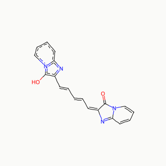 O=C1C(=CC=CC=Cc2nc3ccccn3c2O)N=C2C=CC=CN12